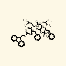 CC(C)C[C@@H](C(=O)NN(CC(C)C)C(=O)[C@@H](Cc1ccccc1)NC(=O)OCC1c2ccccc2-c2ccccc21)[C@H](CC=Cc1ccccc1)C(=O)OC(C)(C)C